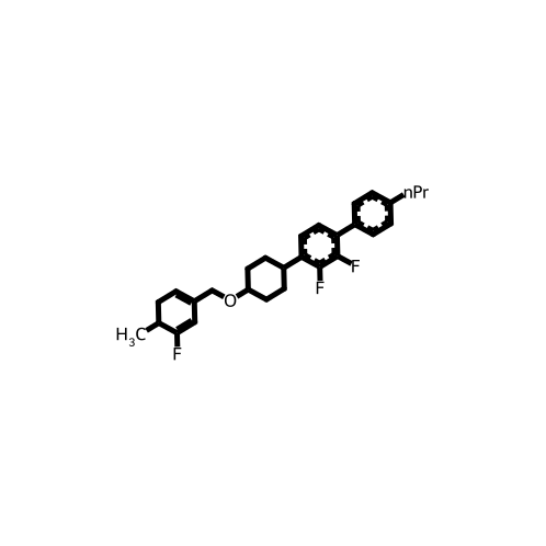 CCCc1ccc(-c2ccc(C3CCC(OCC4=CCC(C)C(F)=C4)CC3)c(F)c2F)cc1